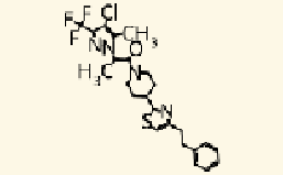 Cc1c(Cl)c(C(F)(F)F)nn1C(C)C(=O)N1CCC(c2nc(CCc3ccccc3)cs2)CC1